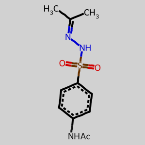 CC(=O)Nc1ccc(S(=O)(=O)NN=C(C)C)cc1